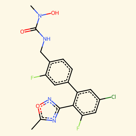 Cc1nc(-c2c(F)cc(Cl)cc2-c2ccc(CNC(=O)N(C)O)c(F)c2)no1